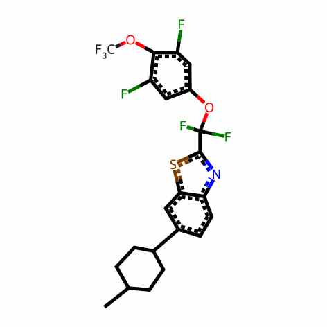 CC1CCC(c2ccc3nc(C(F)(F)Oc4cc(F)c(OC(F)(F)F)c(F)c4)sc3c2)CC1